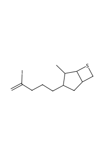 C=C(I)CCCC1CC2CSC2C1C